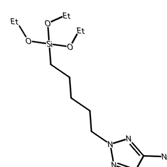 CCO[Si](CCCCCn1nnc(N)n1)(OCC)OCC